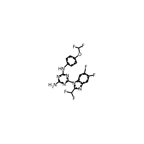 Nc1nc(Nc2ccc(OC(F)F)cc2)nc(-n2c(C(F)F)nc3cc(F)c(F)cc32)n1